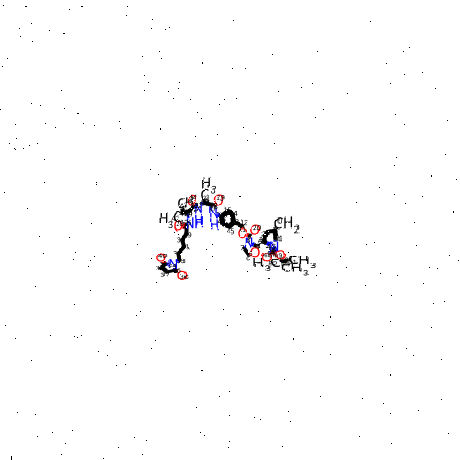 C=C1C[C@@H](C2OCCN2C(=O)OCc2ccc(NC(=O)[C@H](C)NC(=O)[C@@H](NC(=O)CCCCCN3C(=O)C=CC3=O)C(C)C)cc2)N(C(=O)OC(C)(C)C)C1